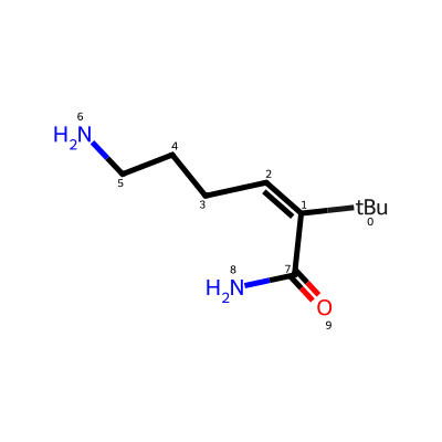 CC(C)(C)C(=CCCCN)C(N)=O